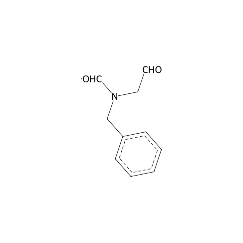 O=[C]N(CC=O)Cc1ccccc1